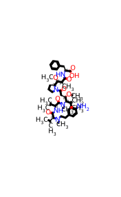 C=C(CC)[C@@H]([C@@H](CC(=O)N1CCC[C@H]1[C@H](OC)[C@@H](C)C(=O)N[C@@H](Cc1ccccc1)C(=O)O)OC)N(C)C(=O)[C@@H](NC(=O)[C@H](C(C)C)N(C)CCc1ccc(N)cc1)C(C)C